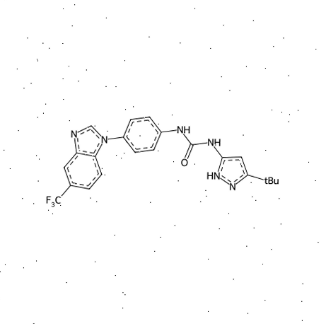 CC(C)(C)c1cc(NC(=O)Nc2ccc(-n3cnc4cc(C(F)(F)F)ccc43)cc2)[nH]n1